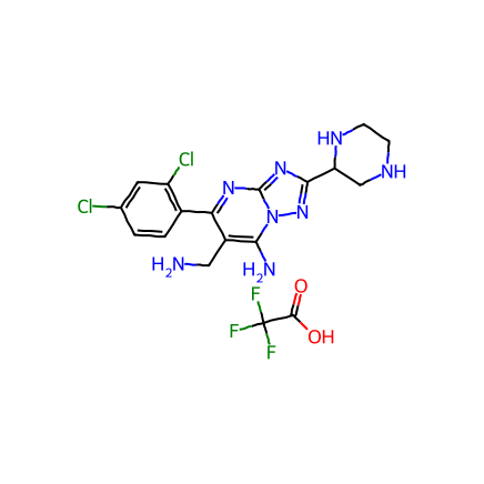 NCc1c(-c2ccc(Cl)cc2Cl)nc2nc(C3CNCCN3)nn2c1N.O=C(O)C(F)(F)F